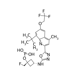 Cc1cc(-c2nnc(N[C@H]3C[C@@](CF)(OP(O)O)C3)o2)nc2c(C(C)(C)C)cc(OCC(F)(F)F)cc12